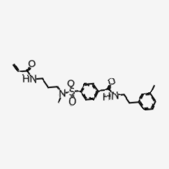 C=CC(=O)NCCCN(C)S(=O)(=O)c1ccc(C(=O)NCCc2cccc(C)c2)cc1